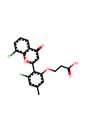 Cc1cc(F)c(-c2cc(=O)c3cccc(Cl)c3o2)c(OCCC(=O)O)c1